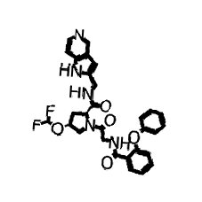 O=C(NCC(=O)N1C[C@H](OC(F)F)C[C@H]1C(=O)NCc1cc2cnccc2[nH]1)c1ccccc1Oc1ccccc1